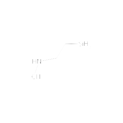 CNCC[SiH3]